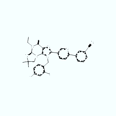 CCN1C(=O)c2nc(-c3ccc(-c4cccc(C#N)c4)nc3)n(Cc3ccc(F)cc3F)c2N2CC(C)(C)N=C12